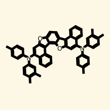 Cc1ccc(N(c2ccc(C)c(C)c2)c2cc3oc4c(ccc5oc6cc(N(c7ccc(C)cc7)c7ccc(C)c(C)c7)c7ccccc7c6c54)c3c3ccccc23)cc1